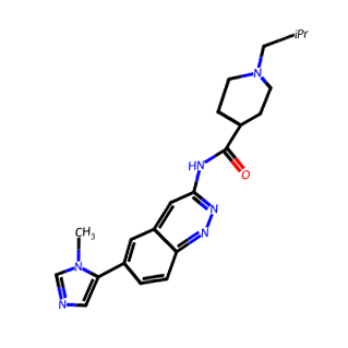 CC(C)CN1CCC(C(=O)Nc2cc3cc(-c4cncn4C)ccc3nn2)CC1